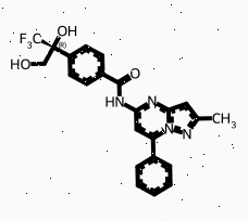 Cc1cc2nc(NC(=O)c3ccc([C@@](O)(CO)C(F)(F)F)cc3)cc(-c3ccccc3)n2n1